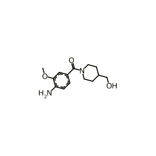 COc1cc(C(=O)N2CCC(CO)CC2)ccc1N